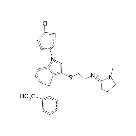 CN1CCC/C1=N\CCSc1cn(-c2ccc(Cl)cc2)c2ccccc12.O=C(O)c1ccccc1